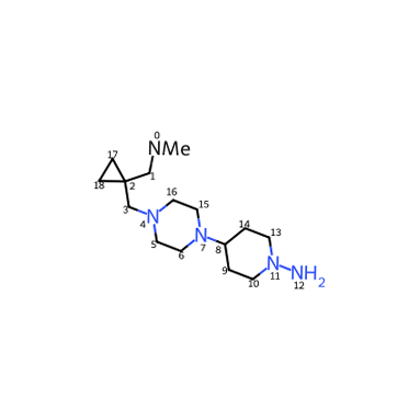 CNCC1(CN2CCN(C3CCN(N)CC3)CC2)CC1